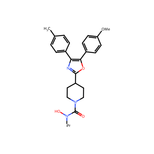 COc1ccc(-c2oc(C3CCN(C(=O)N(O)C(C)C)CC3)nc2-c2ccc(C)cc2)cc1